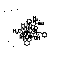 CC[C@H](C)[C@H](N)C(=O)C(NC(=O)[C@@](C(=O)[C@H](C)NC(=O)[C@H](C)N)(C(C)C)C(C(=O)OCc1ccccc1)[C@H](O)[C@@H](N)CC1CCCCC1)c1ccccn1